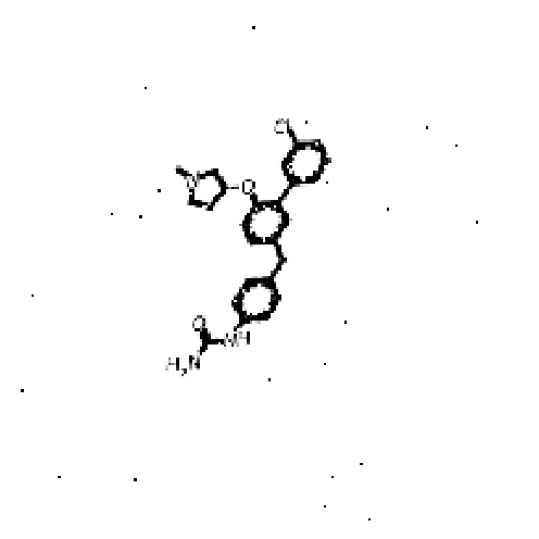 CN1CC[C@@H](Oc2ccc(Cc3ccc(NC(N)=O)cc3)cc2-c2cccc(Cl)c2)C1